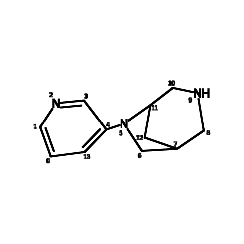 c1cncc(N2CC3CNCC2C3)c1